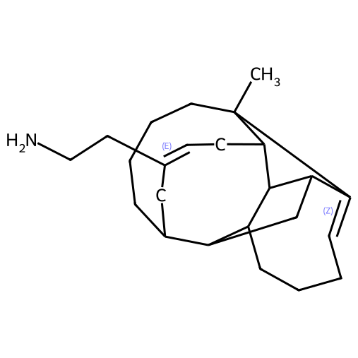 CC12CCCCC3C/C(CCN)=C\CC1C1C4CC3C1CCC/C=C/42